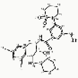 CCNc1cc(C(=O)N[C@@H](Cc2cc(F)cc(F)c2)[C@H](O)CNC2CCCCC2)cc(N2CCCCS2(=O)=O)c1